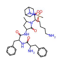 CC1CC(NC(=O)C(Cc2ccccc2)NC(=O)C(N)Cc2ccccc2)C(=O)N1C(CCCCN)C(=O)N1C2CC1CN(S(C)(=O)=O)C2